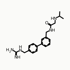 CC(C)NCC(=O)NCc1cccc(-c2ccc(CNC(=N)N)cc2)c1